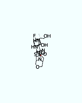 C[C@H](CO)NC(O)Nc1nc2c(s1)C1COCC(C2)N1c1nc(-c2ccc(F)cc2)no1